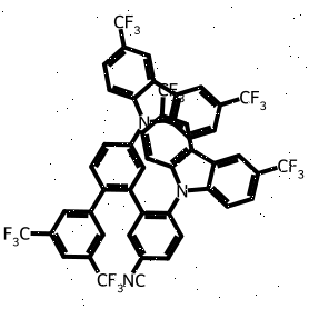 N#Cc1ccc(-n2c3ccc(C(F)(F)F)cc3c3cc(C(F)(F)F)ccc32)c(-c2cc(-n3c4ccc(C(F)(F)F)cc4c4cc(C(F)(F)F)ccc43)ccc2-c2cc(C(F)(F)F)cc(C(F)(F)F)c2)c1